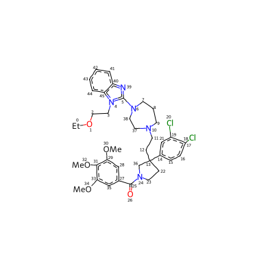 CCOCCn1c(N2CCCN(CCC3(c4ccc(Cl)c(Cl)c4)CCN(C(=O)c4cc(OC)c(OC)c(OC)c4)C3)CC2)nc2ccccc21